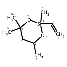 C=C[Si]1(C)OC(C)CC(C)(C)O1